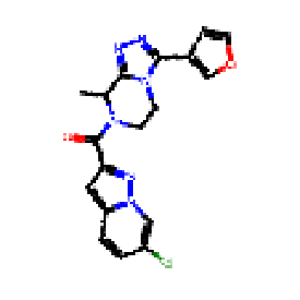 CC1c2nnc(-c3ccoc3)n2CCN1C(=O)c1cc2ccc(Cl)cn2n1